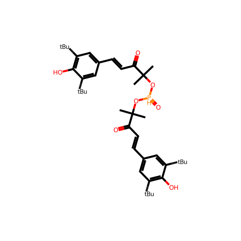 CC(C)(O[PH](=O)OC(C)(C)C(=O)C=Cc1cc(C(C)(C)C)c(O)c(C(C)(C)C)c1)C(=O)C=Cc1cc(C(C)(C)C)c(O)c(C(C)(C)C)c1